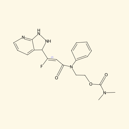 CN(C)C(=O)OCCN(C(=O)/C=C(\F)C1NNc2ncccc21)c1ccccc1